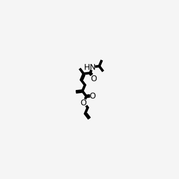 C=CCOC(=O)C(=C)CC=C(C)C(=O)NC(C)C